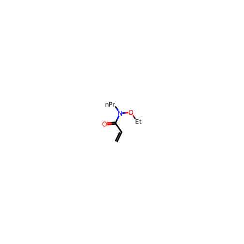 C=CC(=O)N(CCC)OCC